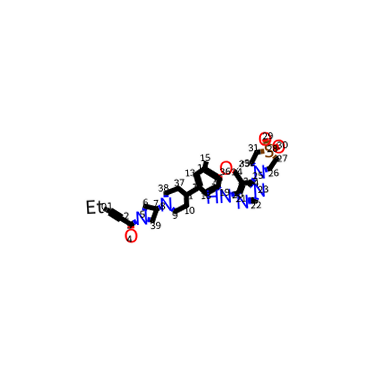 CCC#CC(=O)N1CC(N2CCC(c3cc(C)c4c(c3)Nc3ncnc(N5CCS(=O)(=O)CC5)c3[C@@H](C)O4)CC2)C1